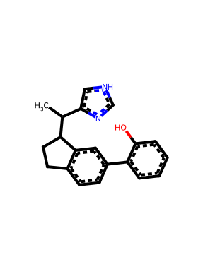 CC(c1c[nH]cn1)C1CCc2ccc(-c3ccccc3O)cc21